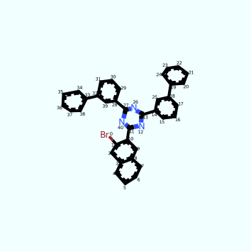 Brc1cc2ccccc2cc1-c1nc(-c2cccc(-c3ccccc3)c2)nc(-c2cccc(-c3ccccc3)c2)n1